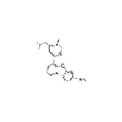 Cc1cnc(-c2cccc3c2oc2nc(C#N)ccc23)cc1CC(C)C